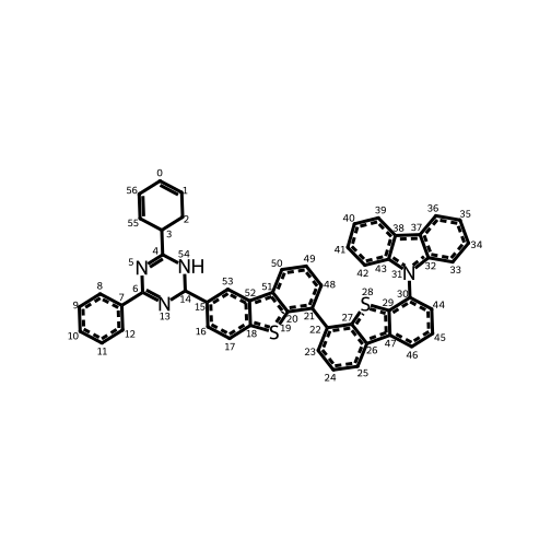 C1=CCC(C2=NC(c3ccccc3)=NC(c3ccc4sc5c(-c6cccc7c6sc6c(-n8c9ccccc9c9ccccc98)cccc67)cccc5c4c3)N2)C=C1